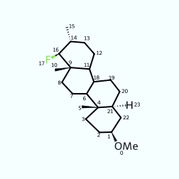 CO[C@H]1CC[C@]2(C)C3CC[C@@]4(C)C(CC[C@@H](C)[C@@H]4F)C3CC[C@H]2C1